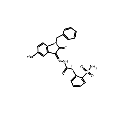 CC(C)(C)c1ccc2c(c1)C(=NNC(=S)Nc1ccccc1S(N)(=O)=O)C(=O)N2Cc1ccccc1